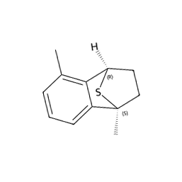 Cc1cccc2c1[C@H]1CC[C@]2(C)S1